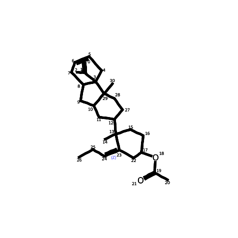 C=C(C)C12CC=CCC1CC1CC(C3(C)CCC(OC(C)=O)C/C3=C/CC)CCC12C